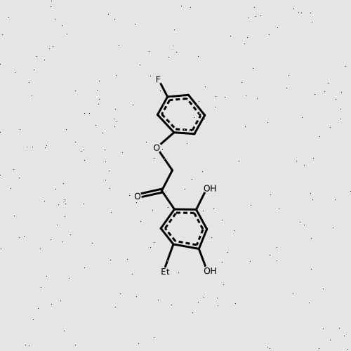 CCc1cc(C(=O)COc2cccc(F)c2)c(O)cc1O